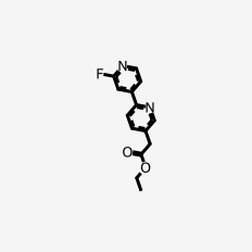 CCOC(=O)Cc1ccc(-c2ccnc(F)c2)nc1